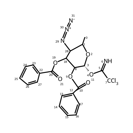 CC1O[C@H](OC(=N)C(Cl)(Cl)Cl)C(OC(=O)c2ccccc2)C(OC(=O)c2ccccc2)C1N=[N+]=[N-]